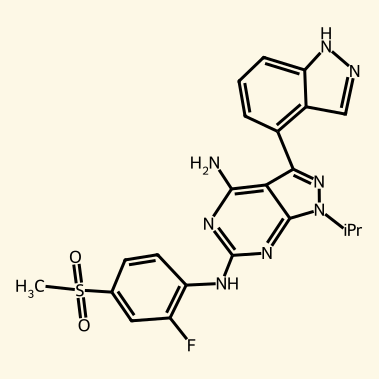 CC(C)n1nc(-c2cccc3[nH]ncc23)c2c(N)nc(Nc3ccc(S(C)(=O)=O)cc3F)nc21